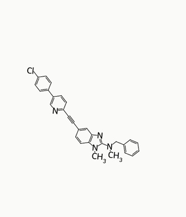 CN(Cc1ccccc1)c1nc2cc(C#Cc3ccc(-c4ccc(Cl)cc4)cn3)ccc2n1C